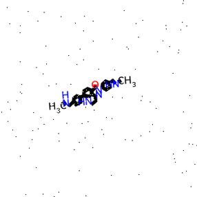 CNCc1ccc(-c2ccc3c(=O)n(-c4ccc(CNC)cc4)nc4c3c2NCC4)cc1